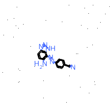 N#Cc1ccc(/N=N/c2c(N)ccc3nn[nH]c23)cc1